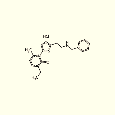 CCc1ccc(C)n(-c2ccc(CCNCc3ccccc3)s2)c1=O.Cl